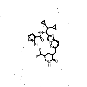 CCn1nccc1C(=O)N[C@H](c1cn2nc(CC3CC(C(F)F)CNC3=O)ccc2n1)C(C1CC1)C1CC1